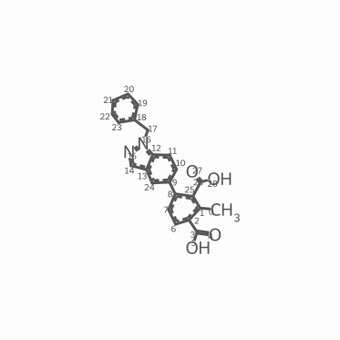 Cc1c(C(=O)O)ccc(-c2ccc3c(cnn3Cc3ccccc3)c2)c1C(=O)O